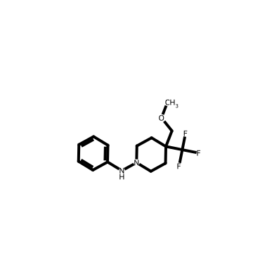 COCC1(C(F)(F)F)CCN(Nc2ccccc2)CC1